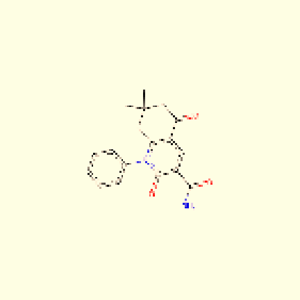 CC1(C)CC(=O)c2cc(C(N)=O)c(=O)n(-c3ccccc3)c2C1